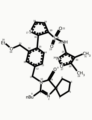 CCCCC1=NC2(CCCC2)C(=O)N1Cc1ccc(-c2sccc2S(=O)(=O)Nc2noc(C)c2C)c(COCC)c1